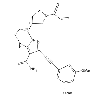 C=CC(=O)N1CC[C@H]([C@H]2CCNc3c(C(N)=O)c(C#Cc4cc(OC)cc(OC)c4)nn32)C1